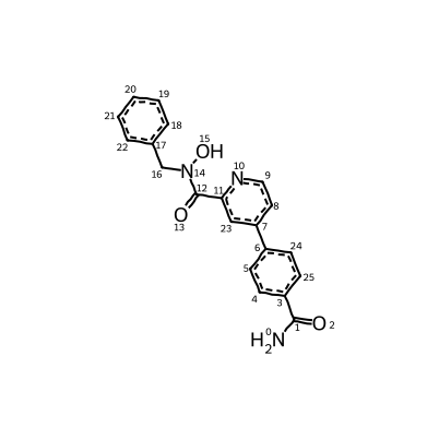 NC(=O)c1ccc(-c2ccnc(C(=O)N(O)Cc3ccccc3)c2)cc1